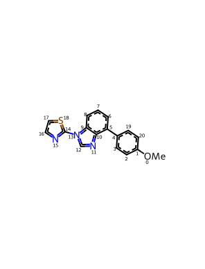 COc1ccc(-c2cccc3c2ncn3-c2nccs2)cc1